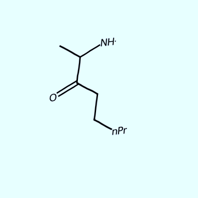 CCCCCC(=O)C(C)[NH]